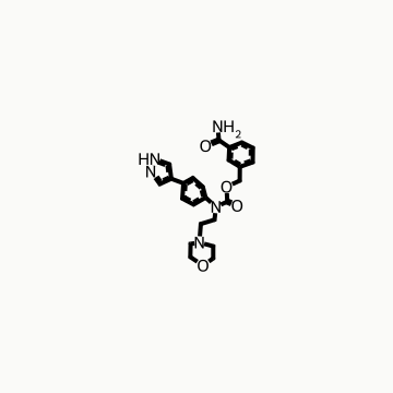 NC(=O)c1cccc(COC(=O)N(CCN2CCOCC2)c2ccc(-c3cn[nH]c3)cc2)c1